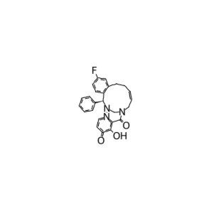 O=C1c2c(O)c(=O)ccn2N2CN1C/C=C\CCc1cc(F)ccc1[C@@H]2c1ccccc1